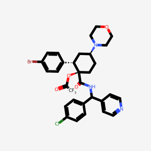 O=C(O[C@]1(C(=O)NC(c2ccncc2)c2ccc(Cl)cc2)CC[C@H](N2CCOCC2)C[C@H]1c1ccc(Br)cc1)C(F)(F)F